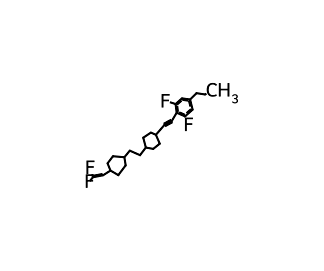 CCCc1cc(F)c(C#CC2CCC(CCC3CCC(C=C(F)F)CC3)CC2)c(F)c1